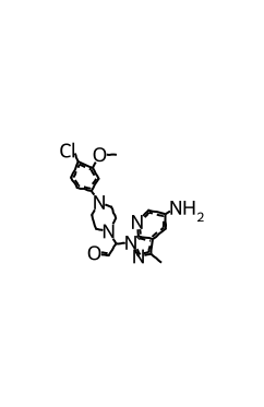 COc1cc(N2CCN(C(C=O)n3nc(C)c4cc(N)cnc43)CC2)ccc1Cl